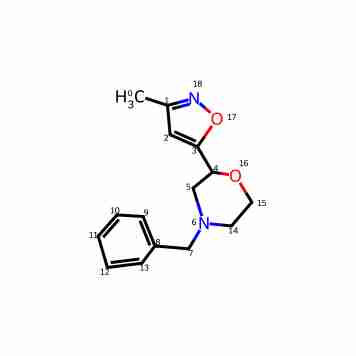 Cc1cc(C2CN(Cc3ccccc3)CCO2)on1